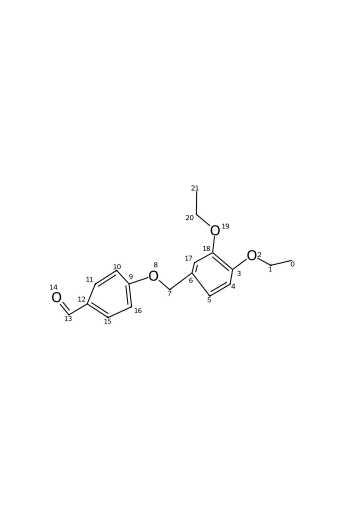 CCOc1ccc(COc2ccc(C=O)cc2)cc1OCC